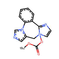 CC(C)(C)OC(=O)O[N+]12C=CN=C1c1ccccc1-n1cncc1C2